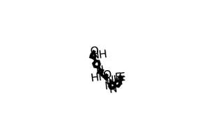 O=C(CNc1ncnc2ccc(C(F)(F)F)cc12)NC1CN(C2CCC(C3CCC(=O)N3)CC2)C1